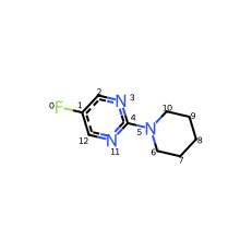 Fc1cnc(N2CCCCC2)nc1